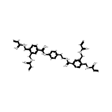 C=CC(=O)OCc1ccc(C(=O)OCCc2ccc(OC(=O)c3ccc(COC(=O)C=C)c(COC(=O)C=C)c3)cc2)cc1COC(=O)C=C